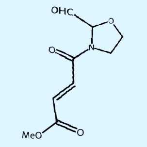 COC(=O)/C=C/C(=O)N1CCOC1C=O